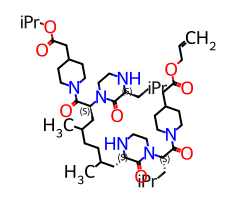 C=CCOC(=O)CC1CCN(C(=O)[C@H](CC(C)C)N2CCN[C@@H](CC(C)CCC(C)C[C@@H](C(=O)N3CCC(CC(=O)OC(C)C)CC3)N3CCN[C@@H](CC(C)C)C3=O)C2=O)CC1